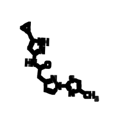 Cc1csc(-n2ccc(CC(=O)Nc3cc(C4CC4)[nH]n3)n2)n1